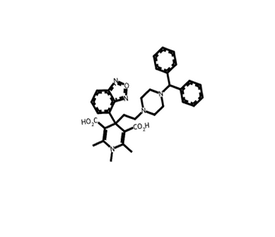 CC1=C(C(=O)O)C(CCN2CCN(C(c3ccccc3)c3ccccc3)CC2)(c2cccc3nonc23)C(C(=O)O)=C(C)N1C